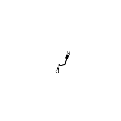 N#CCP=O